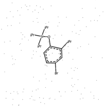 CC(C)c1cc(Br)ccc1O[Si](C(C)C)(C(C)C)C(C)C